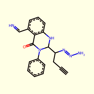 C#CCC(N=NN)C1Nc2cccc(C=N)c2C(=O)N1c1ccccc1